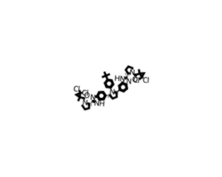 CC(C)(C)c1ccc(N2[C@@H](c3ccc4nc([C@@H]5CCCN5C(=O)C5(C)CC5(Cl)Cl)[nH]c4c3)CC[C@@H]2c2ccc3nc([C@@H]4CCCN4C(=O)C4(C)CC4(Cl)Cl)[nH]c3c2)cc1